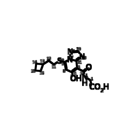 O=C(O)CNC(=O)c1c(O)cc(SCCC2CCC2)n2ncnc12